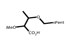 CCCCCCOC(C)C(OC)C(=O)O